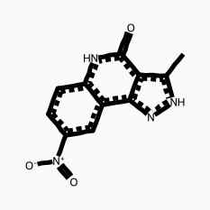 Cc1[nH]nc2c1c(=O)[nH]c1ccc([N+](=O)[O-])cc12